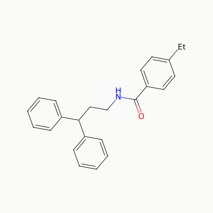 CCc1ccc(C(=O)NCCC(c2ccccc2)c2ccccc2)cc1